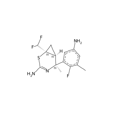 Cc1cc(N)cc([C@@]2(C)N=C(N)S[C@@]3(C(F)F)C[C@@H]23)c1F